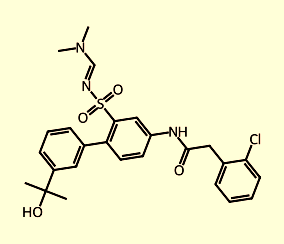 CN(C)C=NS(=O)(=O)c1cc(NC(=O)Cc2ccccc2Cl)ccc1-c1cccc(C(C)(C)O)c1